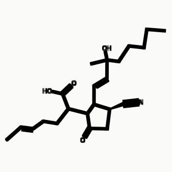 C/C=C/CCC(C(=O)O)C1C(=O)C[C@H](C#N)C1/C=C/C(C)(O)CCCCC